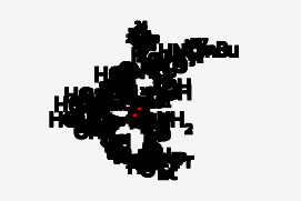 CCCCc1ccc(NC(=O)Cc2cc(O)c3c(c2)[C@@H](C(=O)CC2C4CC5CC(C4)CC2C5)NC(=O)[C@H]2NC(=O)[C@H](CC(=O)[C@@H]4NC(=O)[C@H](CC(N)=O)CC(=O)[C@H](NC(=O)[C@H](CC)CC(C)C)[C@H](O)c5ccc(c(Cl)c5)Oc5cc4cc(c5O[C@@H]4O[C@H](CO)[C@@H](O)[C@H](O)[C@H]4O)Oc4ccc(cc4Cl)[C@H]2O)c2ccc(O)c-3c2)cc1